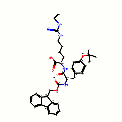 CCNC(=N)NCCCC[C@@H](NC(=O)[C@H](Cc1ccc(OC(C)(C)C)cc1)NC(=O)OCC1c2ccccc2-c2ccccc21)C(=O)O